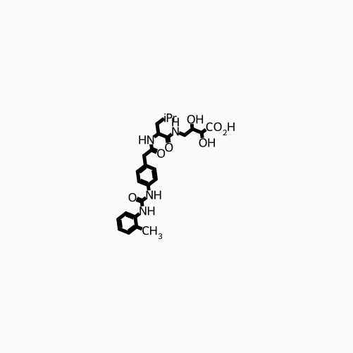 Cc1ccccc1NC(=O)Nc1ccc(CC(=O)NC(CC(C)C)C(=O)NCC(O)C(O)C(=O)O)cc1